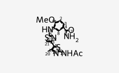 COc1ccc(C(N)=O)cc1Nc1nc(-c2sc(NC(C)=O)nc2C)cs1